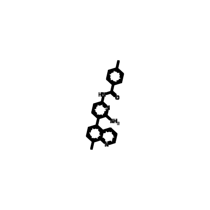 Cc1ccc(C(=O)Nc2ccc(-c3ccc(C)c4ncccc34)c(N)n2)cc1